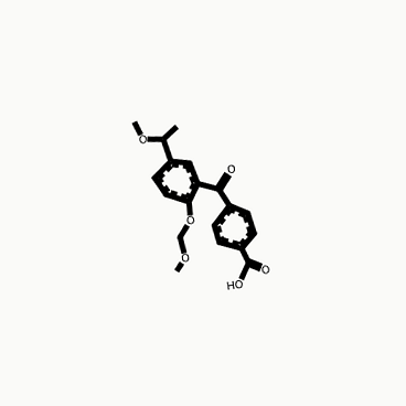 COCOc1ccc(C(C)OC)cc1C(=O)c1ccc(C(=O)O)cc1